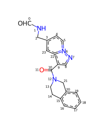 O=CNCc1ccn2ncc(C(=O)N3CCc4ccccc4C3)c2c1